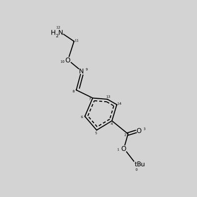 CC(C)(C)OC(=O)c1ccc(/C=N/OCN)cc1